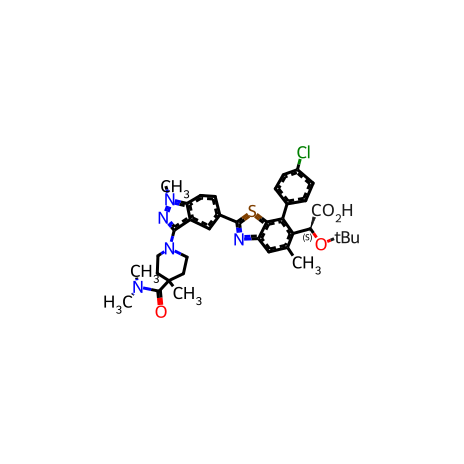 Cc1cc2nc(-c3ccc4c(c3)c(N3CCC(C)(C(=O)N(C)C)CC3)nn4C)sc2c(-c2ccc(Cl)cc2)c1[C@H](OC(C)(C)C)C(=O)O